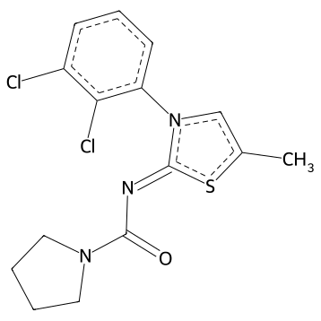 Cc1cn(-c2cccc(Cl)c2Cl)c(=NC(=O)N2CCCC2)s1